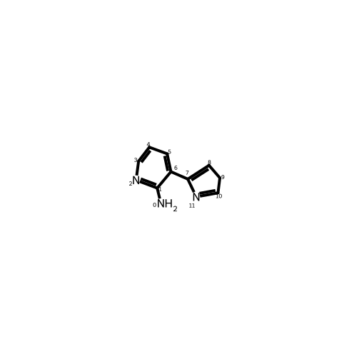 Nc1ncccc1C1=CCC=N1